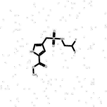 COC(=O)c1cc(CS(=O)(=O)NCC(F)F)c[nH]1